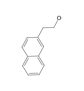 [O]CCc1ccc2ccccc2c1